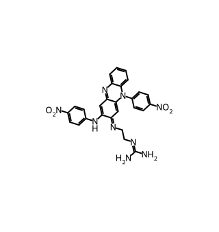 NC(N)=NCC/N=c1\cc2n(-c3ccc([N+](=O)[O-])cc3)c3ccccc3nc-2cc1Nc1ccc([N+](=O)[O-])cc1